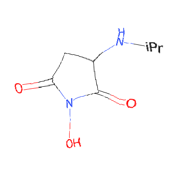 CC(C)NC1CC(=O)N(O)C1=O